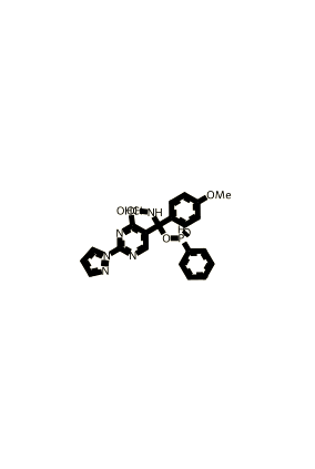 COc1ccc(C(NC=O)(O[PH](=O)c2cc[c]cc2)c2cnc(-n3cccn3)nc2O)cc1